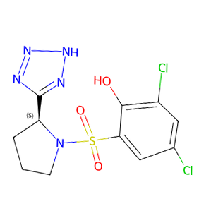 O=S(=O)(c1cc(Cl)cc(Cl)c1O)N1CCC[C@H]1c1nn[nH]n1